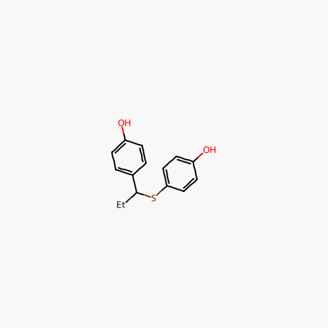 CCC(Sc1ccc(O)cc1)c1ccc(O)cc1